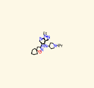 CCn1ncc2c(NC3CCN(C(C)C)CC3)c(C3=NOC4(CCCCC4)C3)cnc21